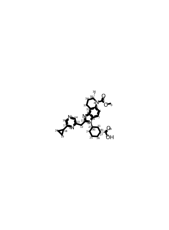 COC(=O)N1c2ccc3c(nc(Cc4cncc(C5CC5)n4)n3[C@@H]3CCC[C@@H](C(=O)O)C3)c2CC[C@@H]1C